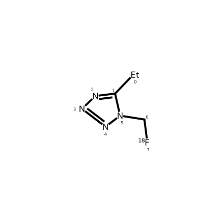 CCc1nnnn1C[18F]